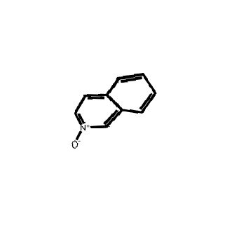 [O-][n+]1[c]c2ccccc2cc1